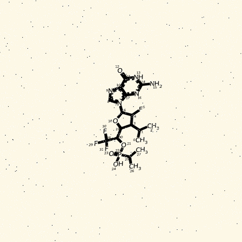 CC(C)C1C(F)C(n2cnc3c(=O)[nH]c(N)nc32)OC1C(OP(=O)(O)C(C)C)C(F)(F)F